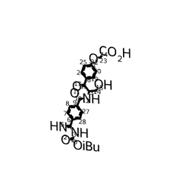 CC(C)COC(=O)NC(=N)c1ccc(C(=O)NC(CO)C(=O)c2ccc(OCC(=O)O)cc2)cc1